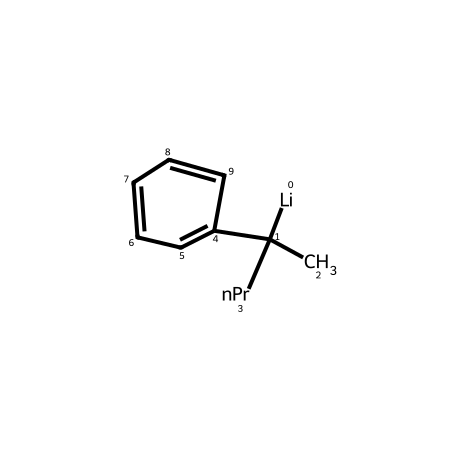 [Li][C](C)(CCC)c1ccccc1